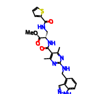 COC(=O)[C@H](CNC(=O)c1cccs1)NC(=O)c1c(C)nc(NCc2cccc3[nH]ncc23)nc1C